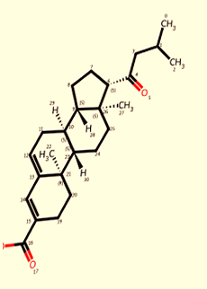 CC(C)CC(=O)[C@H]1CC[C@H]2[C@@H]3CC=C4C=C(C(=O)O)CC[C@]4(C)[C@H]3CC[C@]12C